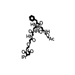 CC(=O)COCNC(=O)CNC(=O)C(Cc1ccccc1)NC(=O)CNC(=O)CNC(=O)CCOCCN1C(=O)CC(C(C)C)C1=O